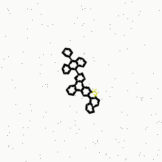 c1ccc(-c2c3ccccc3c(-c3ccc4c(c3)c3ccccc3c3cc5c(cc43)sc3ccc4ccccc4c35)c3ccccc23)cc1